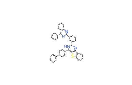 c1ccc(-c2ccc(C3=c4sc5ccccc5c4=NC(c4cccc(-c5nc(-c6ccccc6)c6ccccc6n5)c4)N3)cc2)cc1